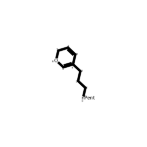 CCCCCCCCC1=COC[C]=C1